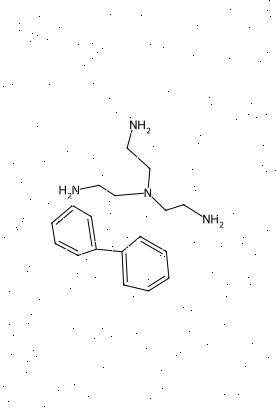 NCCN(CCN)CCN.c1ccc(-c2ccccc2)cc1